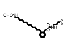 CN(C)CCCNC(=O)OCc1ccccc1CCCCCCCCCCCCNC=O